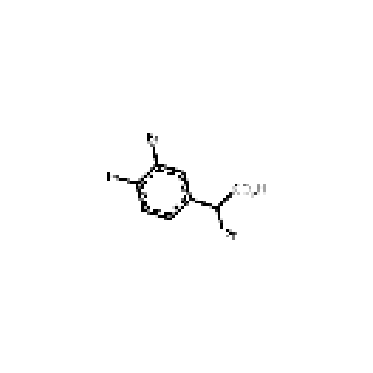 CC(C)C(C(=O)O)c1ccc(F)c(Br)c1